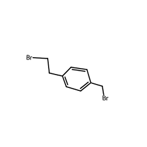 BrCCc1ccc(CBr)cc1